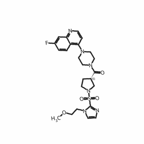 COCCn1ccnc1S(=O)(=O)N1CC[C@H](C(=O)N2CCN(c3ccnc4cc(F)ccc34)CC2)C1